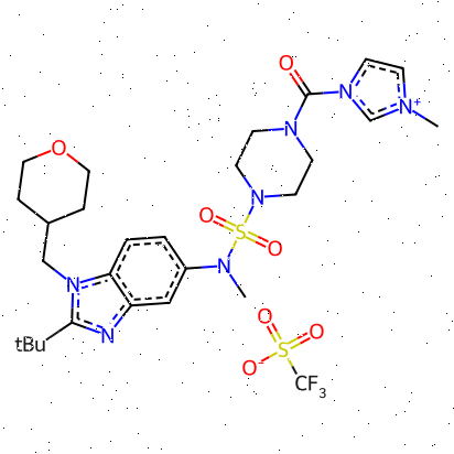 CN(c1ccc2c(c1)nc(C(C)(C)C)n2CC1CCOCC1)S(=O)(=O)N1CCN(C(=O)n2cc[n+](C)c2)CC1.O=S(=O)([O-])C(F)(F)F